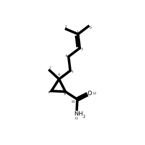 CC(C)=CCCC1(C)CC1C(N)=O